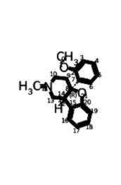 COc1ccccc1[C@@]12CCN(C)C[C@@H]1c1ccccc1O2